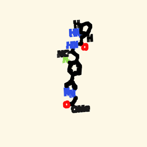 COC(=O)Cn1cc(-c2ccc(C[C@@H](C#N)NC(=O)[C@H]3N[C@@H]4CC[C@H]3C4)c(F)c2)cn1